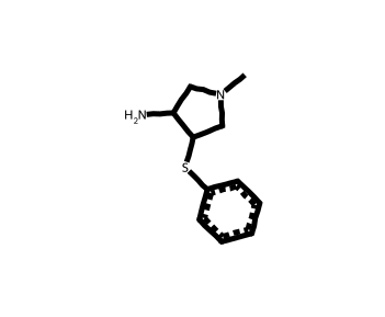 CN1CC(N)C(Sc2ccccc2)C1